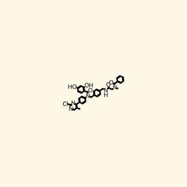 Cc1cnc(Cl)nc1-c1ccc(N(Cc2ccc(CNC(=O)CN(C)C(=O)c3ccccc3)cc2)C(=O)c2ccc(O)cc2O)cc1